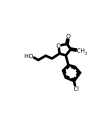 C=C1C(=O)OC(CCCO)C1c1ccc(Cl)cc1